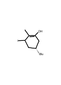 CC1=C(O)C[C@H](C(C)(C)C)CC1I